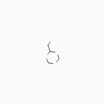 ClC(Cl)(Cl)CC1SCSCS1